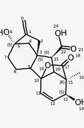 C=C1C[C@]23C[C@@]1(O)CCC2C12C=C[C@H](O)[C@](C)(C(=O)O1)C2[C@@H]3C(=O)O